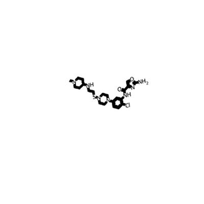 CN1CCC(NCCSN2CCN(c3ccc(Cl)c(NC(=O)c4coc(N)n4)c3)CC2)CC1